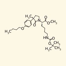 CCCCOc1ccc([C@]2(C)CCN([C@H](CCCCNC(=O)OC(C)(C)C)C(=O)OC)C2=O)cc1